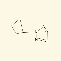 [c]1cnn(C2CCC2)n1